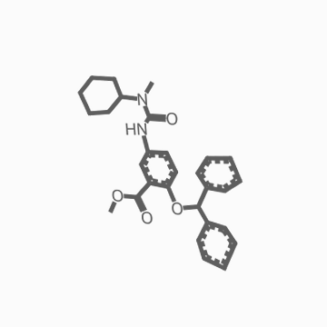 COC(=O)c1cc(NC(=O)N(C)C2CCCCC2)ccc1OC(c1ccccc1)c1ccccc1